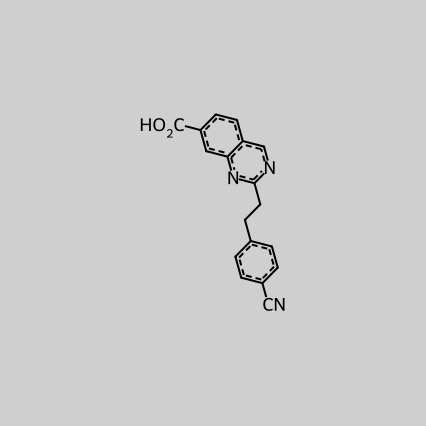 N#Cc1ccc(CCc2ncc3ccc(C(=O)O)cc3n2)cc1